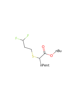 CCCCCC(SCCC(F)F)C(=O)OCCCC